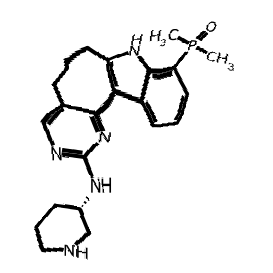 CP(C)(=O)c1cccc2c3c([nH]c12)CCCc1cnc(N[C@H]2CCCNC2)nc1-3